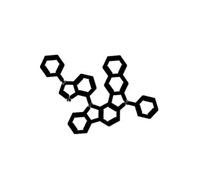 c1ccc(-n2cnc3c(-n4c5ccccc5c5ccc6c(c7cc8ccccc8cc7n6-c6ccccc6)c54)cccc32)cc1